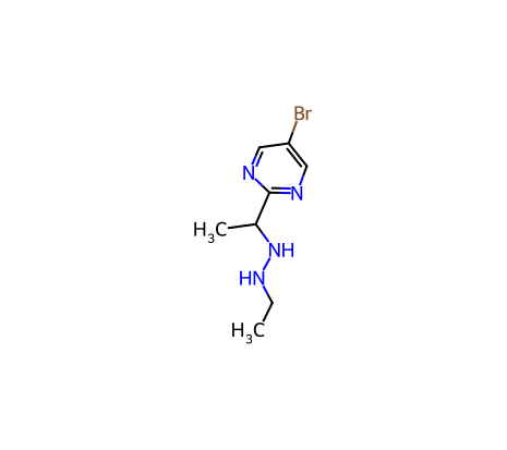 CCNNC(C)c1ncc(Br)cn1